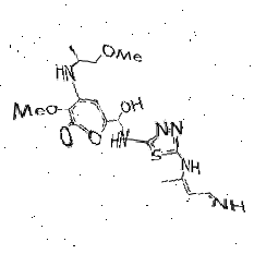 COC[C@H](C)Nc1cc(C(O)Nc2nnc(N/C(C)=C\C=N)s2)oc(=O)c1OC